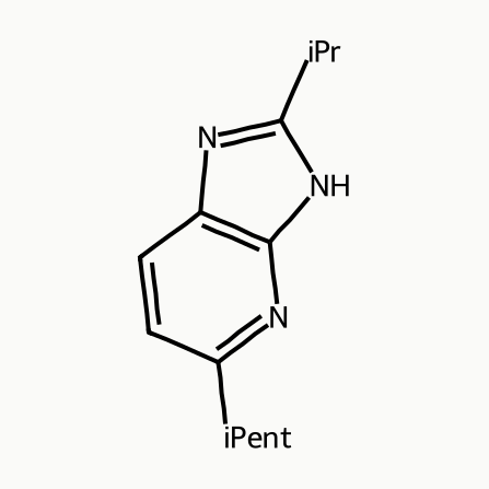 CCCC(C)c1ccc2nc(C(C)C)[nH]c2n1